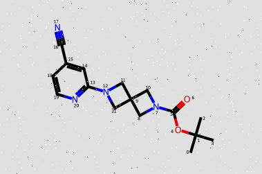 CC(C)(C)OC(=O)N1CC2(C1)CN(c1cc(C#N)ccn1)C2